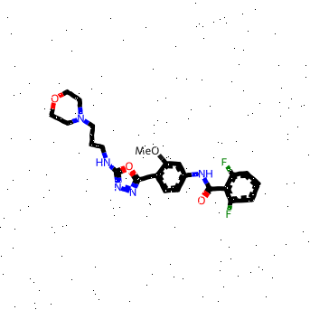 COc1cc(NC(=O)c2c(F)cccc2F)ccc1-c1nnc(NCCCN2CCOCC2)o1